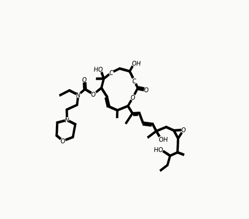 CCC(O)C(C)C1OC1CC(C)(O)/C=C/C=C(\C)C1OC(=O)CC(O)CCC(C)(O)C(OC(=O)N(CC)CCN2CCOCC2)/C=C/C1C